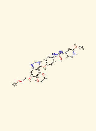 COCCOc1cc2ncnc(Oc3ccc(NC(=O)Nc4ccnc(OC)c4)cc3)c2c2c1OCCO2